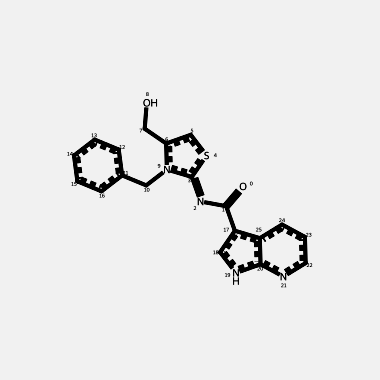 O=C(/N=c1\scc(CO)n1Cc1ccccc1)c1c[nH]c2ncccc12